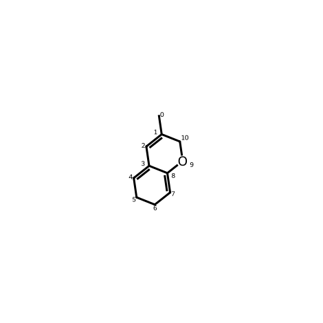 CC1=CC2=CCCC=C2OC1